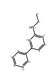 CCNc1nccc(-c2cccnc2)n1